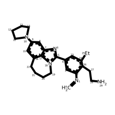 C=Nc1cc(-c2nc3cc(N4CCCC4)cc4c3n2CCCC4)cc(CC)c1CCN